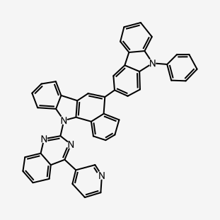 c1ccc(-n2c3ccccc3c3cc(-c4cc5c6ccccc6n(-c6nc(-c7cccnc7)c7ccccc7n6)c5c5ccccc45)ccc32)cc1